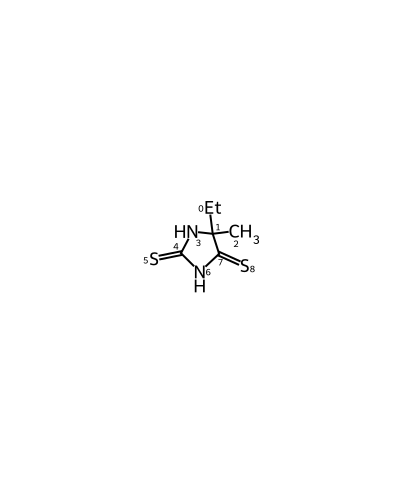 CCC1(C)NC(=S)NC1=S